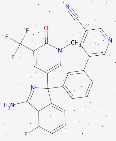 Cn1cc(C2(c3cccc(-c4cncc(C#N)c4)c3)N=C(N)c3c(F)cccc32)cc(C(F)(F)F)c1=O